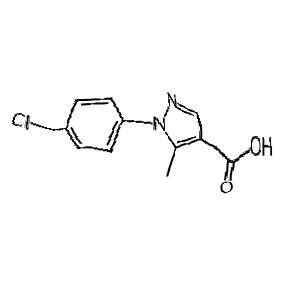 Cc1c(C(=O)O)cnn1-c1ccc(Cl)cc1